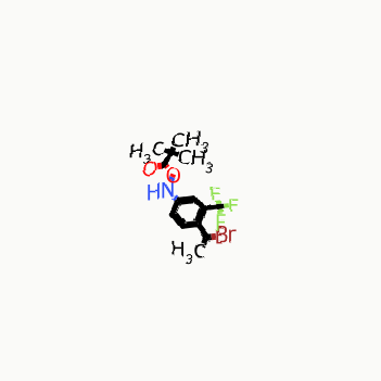 CC(Br)c1ccc(NOC(=O)C(C)(C)C)cc1C(F)(F)F